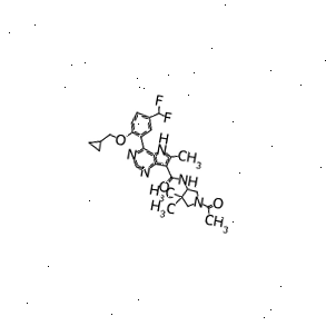 CC(=O)N1CC(NC(=O)c2c(C)[nH]c3c(-c4cc(C(F)F)ccc4OCC4CC4)ncnc23)C(C)(C)C1